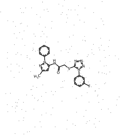 Cc1cc(NC(=O)CSc2nnnn2-c2cccc(F)c2)n(-c2ccccc2)n1